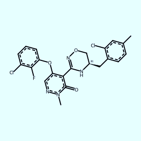 Cc1ccc(C[C@@H]2CON=C(c3c(Oc4cccc(Cl)c4F)cnn(C)c3=O)N2)c(Cl)c1